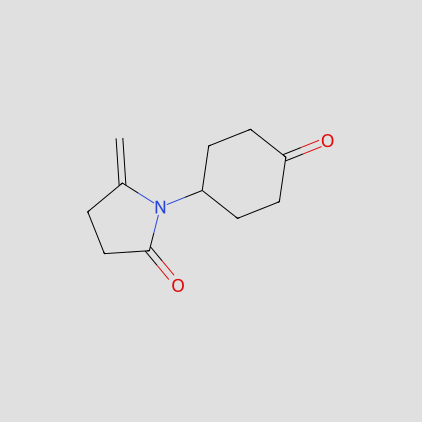 C=C1CCC(=O)N1C1CCC(=O)CC1